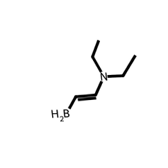 B/C=C/N(CC)CC